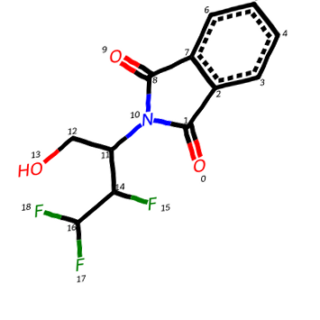 O=C1c2ccccc2C(=O)N1C(CO)C(F)C(F)F